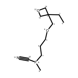 CCC1(COCCCP(C)C#N)COC1